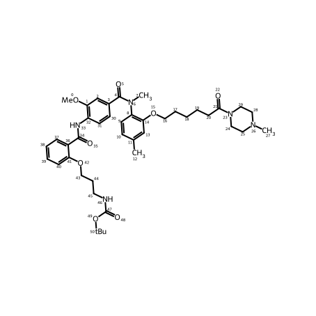 COc1cc(C(=O)N(C)c2ccc(C)cc2OCCCCCC(=O)N2CCN(C)CC2)ccc1NC(=O)c1ccccc1OCCCNC(=O)OC(C)(C)C